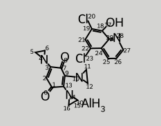 O=C1C=C(N2CC2)C(=O)C(N2CC2)=C1N1CC1.Oc1c(Cl)cc(Cl)c2cccnc12.[AlH3]